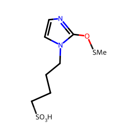 CSOc1nccn1CCCCS(=O)(=O)O